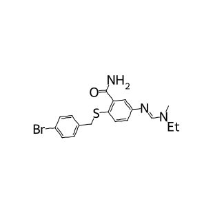 CCN(C)/C=N/c1ccc(SCc2ccc(Br)cc2)c(C(N)=O)c1